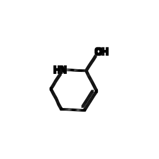 OC1C=CCCN1